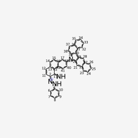 N=C1/C(=N\Nc2ccccc2)C=Cc2ccc3cc(-n4c5cc6ccccc6cc5c5c6ccccc6ccc54)ccc3c21